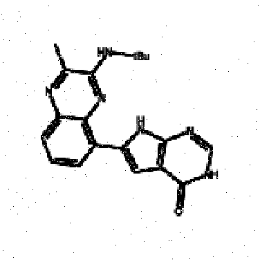 Cc1nc2cccc(-c3cc4c(=O)[nH]cnc4[nH]3)c2nc1NC(C)(C)C